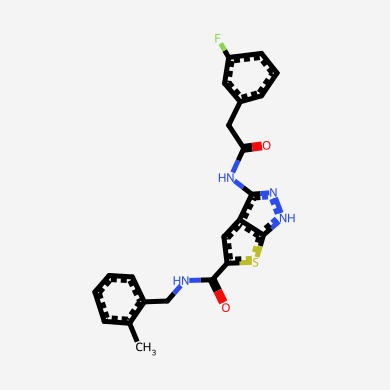 Cc1ccccc1CNC(=O)c1cc2c(NC(=O)Cc3cccc(F)c3)n[nH]c2s1